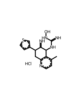 Cc1ccnc2c1C(NC(=N)NO)C(=N)C(c1ccsc1)C2.Cl